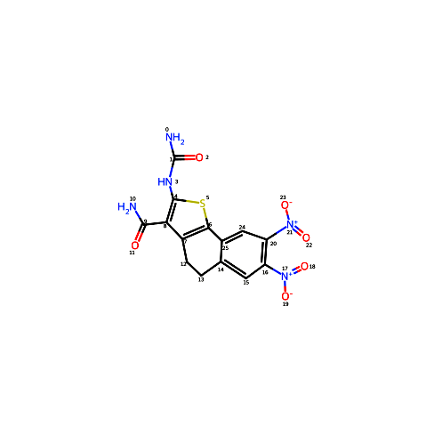 NC(=O)Nc1sc2c(c1C(N)=O)CCc1cc([N+](=O)[O-])c([N+](=O)[O-])cc1-2